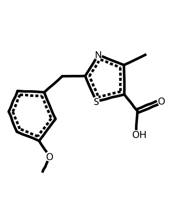 COc1cccc(Cc2nc(C)c(C(=O)O)s2)c1